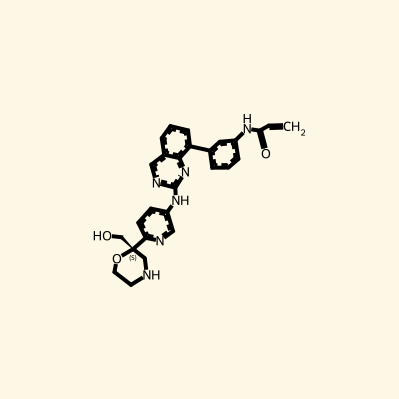 C=CC(=O)Nc1cccc(-c2cccc3cnc(Nc4ccc([C@]5(CO)CNCCO5)nc4)nc23)c1